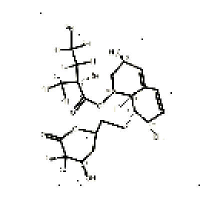 [2H]C1([2H])C(=O)OC(CC[C@@H]2[C@@H]3C(=C[C@H](C)C[C@@H]3OC(=O)[C@@]([2H])(C([2H])([2H])[2H])C([2H])([2H])C([2H])([2H])[2H])C=C[C@@H]2C)C[C@H]1O